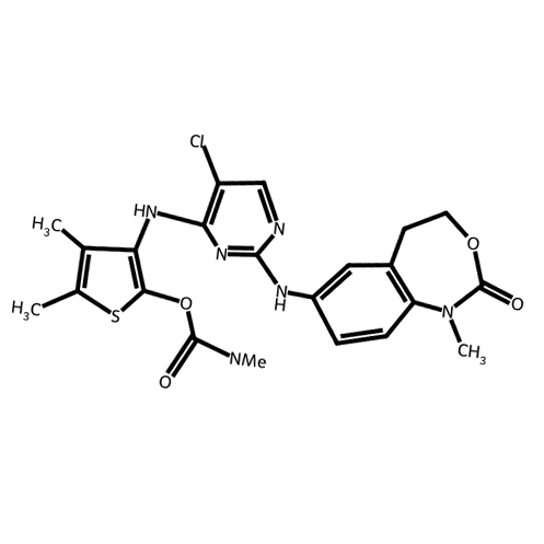 CNC(=O)Oc1sc(C)c(C)c1Nc1nc(Nc2ccc3c(c2)CCOC(=O)N3C)ncc1Cl